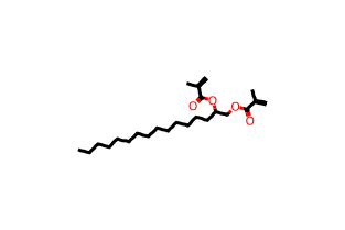 C=C(C)C(=O)OCC(CCCCCCCCCCCCCC)OC(=O)C(=C)C